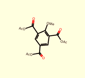 COc1c(C(=O)OC(C)=O)cc(C(=O)OC(C)=O)cc1C(=O)OC(C)=O